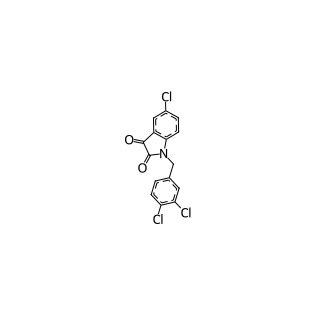 O=C1C(=O)N(Cc2ccc(Cl)c(Cl)c2)c2ccc(Cl)cc21